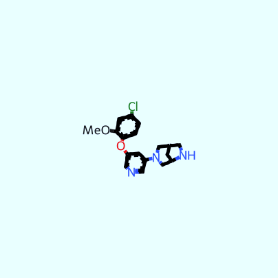 COc1cc(Cl)ccc1Oc1cncc(N2CC3CNC(C3)C2)c1